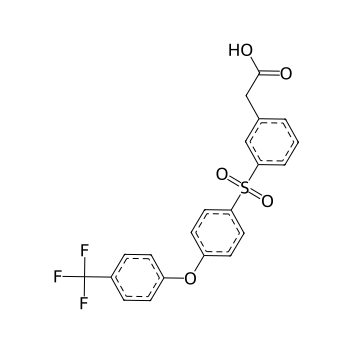 O=C(O)Cc1cccc(S(=O)(=O)c2ccc(Oc3ccc(C(F)(F)F)cc3)cc2)c1